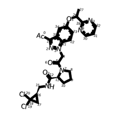 CC(=O)c1nn(CC(=O)N2CCC[C@H]2C(=O)NC[C@H]2CC2(Cl)Cl)c2ccc(OC(C)c3ncccn3)cc12